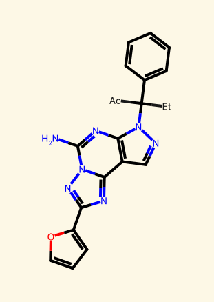 CCC(C(C)=O)(c1ccccc1)n1ncc2c1nc(N)n1nc(-c3ccco3)nc21